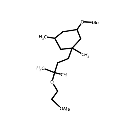 COCCOC(C)(C)CCC1(C)CC(C)CC(OC(C)(C)C)C1